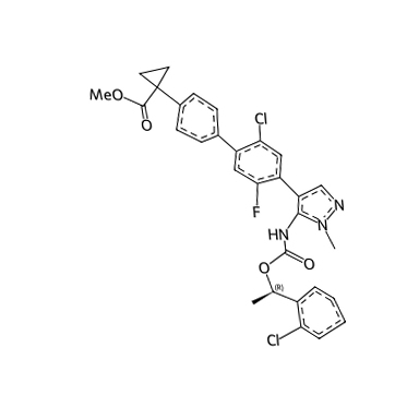 COC(=O)C1(c2ccc(-c3cc(F)c(-c4cnn(C)c4NC(=O)O[C@H](C)c4ccccc4Cl)cc3Cl)cc2)CC1